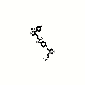 CCCn1cncc1CSc1ccc(NC(=O)C=Cc2cnn(C)c2-c2ccc(F)cc2)cc1